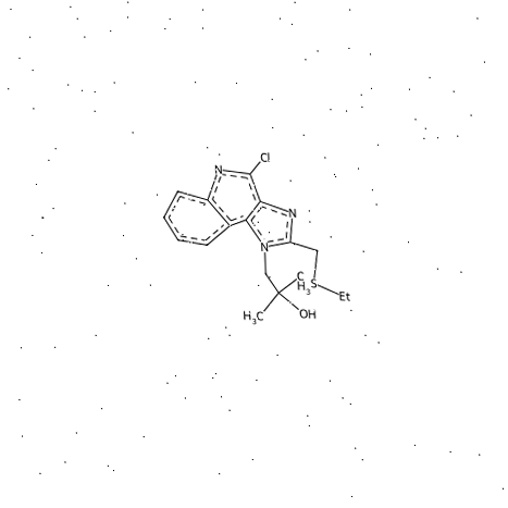 CCSCc1nc2c(Cl)nc3ccccc3c2n1CC(C)(C)O